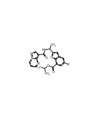 CC(NC(=O)c1cnn2cccnc12)c1cc2cc(F)cc(C(=O)OC(C)C(F)(F)F)c2o1